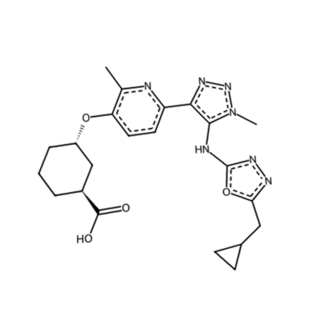 Cc1nc(-c2nnn(C)c2Nc2nnc(CC3CC3)o2)ccc1O[C@H]1CCC[C@H](C(=O)O)C1